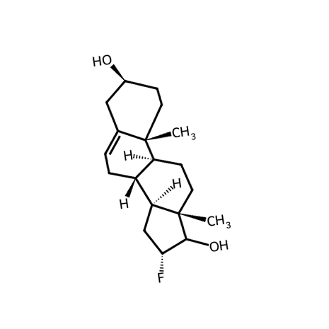 C[C@]12CC[C@H](O)CC1=CC[C@@H]1[C@@H]2CC[C@]2(C)C(O)[C@H](F)C[C@@H]12